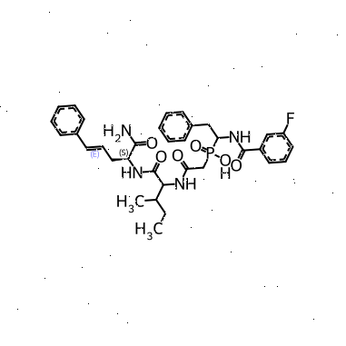 CCC(C)C(NC(=O)CP(=O)(O)C(Cc1ccccc1)NC(=O)c1cccc(F)c1)C(=O)N[C@@H](C/C=C/c1ccccc1)C(N)=O